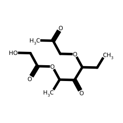 CCC(OCC(C)=O)C(=O)C(C)OC(=O)CO